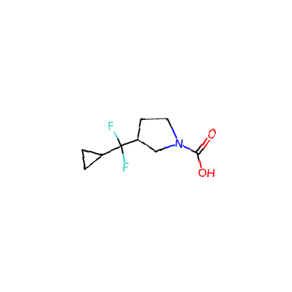 O=C(O)N1CCC(C(F)(F)C2CC2)C1